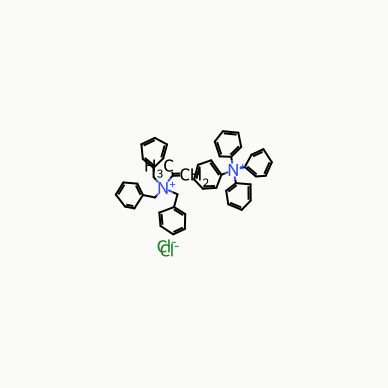 C=C(C)[N+](Cc1ccccc1)(Cc1ccccc1)Cc1ccccc1.[Cl-].[Cl-].c1ccc([N+](c2ccccc2)(c2ccccc2)c2ccccc2)cc1